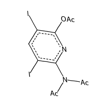 CC(=O)Oc1nc(N(C(C)=O)C(C)=O)c(I)cc1I